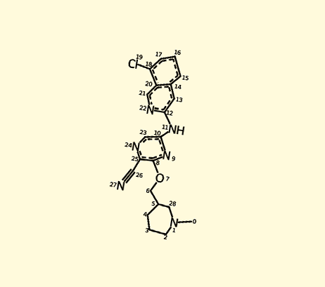 CN1CCCC(COc2nc(Nc3cc4cccc(Cl)c4cn3)cnc2C#N)C1